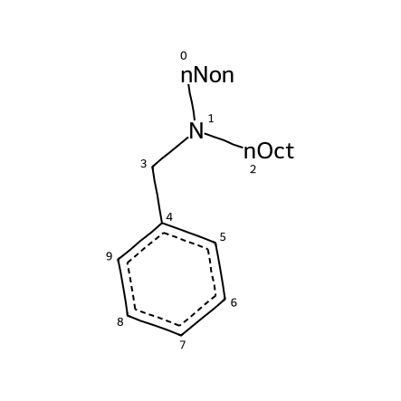 CCCCCCCCCN(CCCCCCCC)Cc1ccccc1